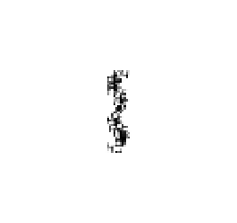 OCC(F)(F)C(F)(F)C(F)(F)OC(F)C(F)(F)OCCOC(F)(F)C(F)OC(F)(F)C(F)(F)C(F)(F)CO